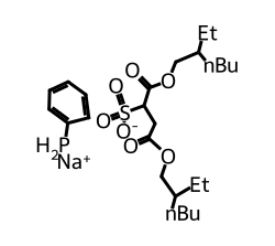 CCCCC(CC)COC(=O)CC(C(=O)OCC(CC)CCCC)S(=O)(=O)[O-].Pc1ccccc1.[Na+]